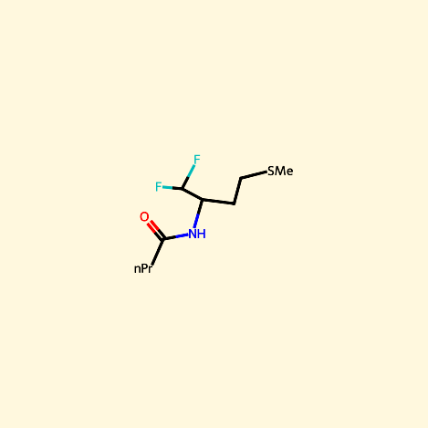 CCCC(=O)NC(CCSC)C(F)F